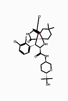 CC1(C)CCC2(CC1)N[C@@H](C(=O)N[C@@H]1CC[C@@H](C(C)(C)O)OC1)[C@H](c1cccc(Cl)c1F)[C@]21C(=O)Nc2cc(Cl)ccc21